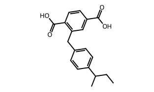 CCC(C)c1ccc(Cc2cc(C(=O)O)ccc2C(=O)O)cc1